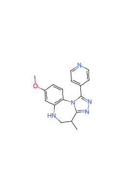 COc1ccc2c(c1)NCC(C)c1nnc(-c3ccncc3)n1-2